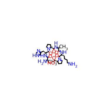 C[C@H](N)C(=O)N[C@@H](Cc1c[nH]cn1)C(=O)N1CCC[C@H]1C(=O)N[C@@H](C)C(=O)N[C@@H](CCCCN)C(=O)N1CCC[C@H]1C(=O)O